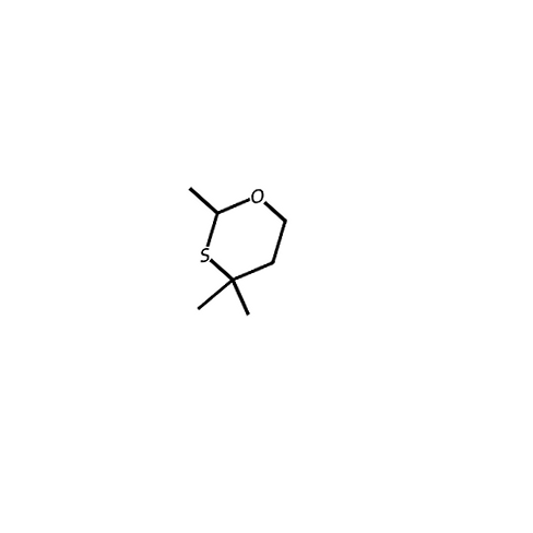 CC1OCCC(C)(C)S1